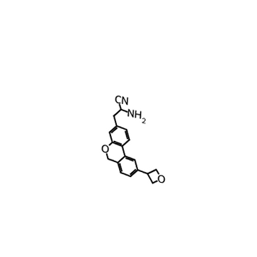 N#CC(N)Cc1ccc2c(c1)OCc1ccc(C3COC3)cc1-2